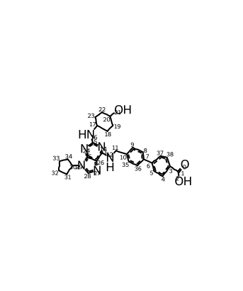 O=C(O)c1ccc(-c2ccc(CNc3nc(NC4CCC(O)CC4)nc4c3ncn4C3CCCC3)cc2)cc1